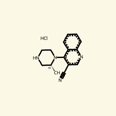 C[C@@H]1CNCCN1c1c(C#N)cnc2ccccc12.Cl